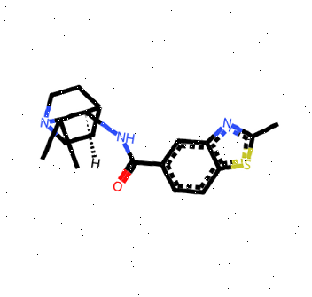 Cc1nc2cc(C(=O)N[C@@H]3C4CCN(CC4)C3(C)C)ccc2s1